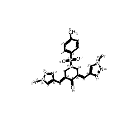 Cc1ccc(S(=O)(=O)N2CC(=Cc3cn(C(C)C)nn3)C(=O)C(=Cc3cn(C(C)C)nn3)C2)cc1